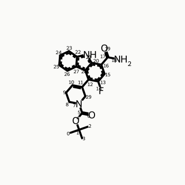 CC(C)(C)OC(=O)N1CCC=C(c2c(F)cc(C(N)=O)c3[nH]c4ccccc4c23)C1